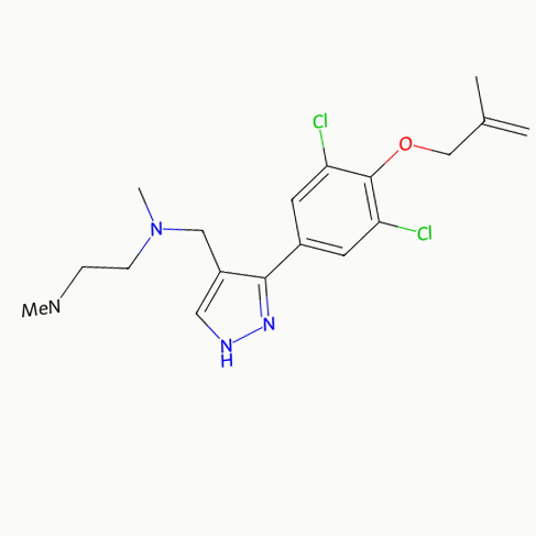 C=C(C)COc1c(Cl)cc(-c2n[nH]cc2CN(C)CCNC)cc1Cl